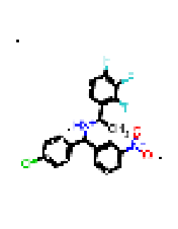 CC(NC(c1ccc(Cl)cc1)c1cccc([N+](=O)[O-])c1)c1ccc(F)c(F)c1F